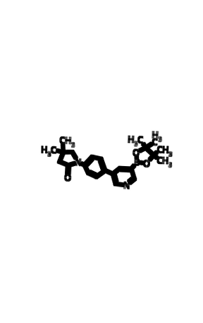 CC1(C)CC(=O)N(c2ccc(-c3cncc(B4OC(C)(C)C(C)(C)O4)c3)cc2)C1